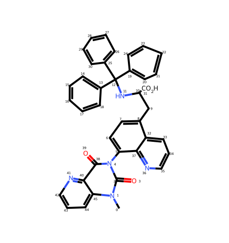 Cn1c(=O)n(-c2ccc(CC(NC(c3ccccc3)(c3ccccc3)c3ccccc3)C(=O)O)c3cccnc23)c(=O)c2ncccc21